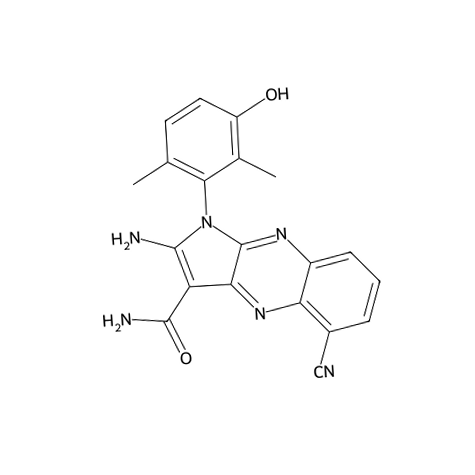 Cc1ccc(O)c(C)c1-n1c(N)c(C(N)=O)c2nc3c(C#N)cccc3nc21